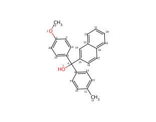 COc1ccc(C(O)(c2ccc(C)cc2)c2ccc3ccccc3c2)cc1